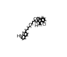 O=C(O)[C@H](CCOCCCCc1ccc2c(n1)NCCC2)NC(=O)C1(c2c(Cl)cccc2Cl)CC1